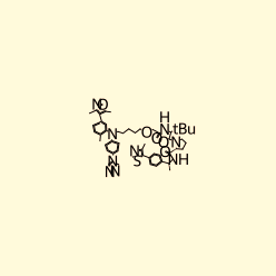 Cc1ccc(-c2c(C)noc2C)cc1N(CCCCCOCC(=O)N[C@H](C(=O)N1CCC[C@H]1C(=O)N[C@@H](C)c1ccc(-c2scnc2C)cc1)C(C)(C)C)c1ccc(-n2cnnc2)cc1